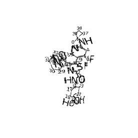 CC1(Nc2cc(C(F)F)c(-c3sc(C(=O)NC4CCS(O)(O)CC4)nc3C(=O)N3C4CCC3CC4)cn2)CCC1